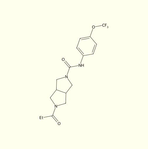 CCC(=O)N1CC2CN(C(=O)Nc3ccc(OC(F)(F)F)cc3)CC2C1